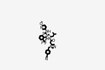 COc1ccc(NC(=S)N(Cc2ccccc2C(F)(F)F)C[C@H](CC(C)C)NC(=O)Cc2cncn2Cc2ccc(C#N)cc2)cn1